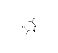 C=C(F)/C=N\C(C)Cl